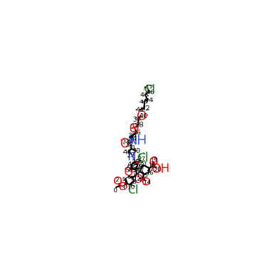 CC(=O)Oc1cc2c(cc1Cl)C1(OC(=O)c3cc(C(=O)O)ccc31)c1cc(Cl)c(N3CC(C(=O)NCCOCCOCCCCCCCl)C3)cc1O2